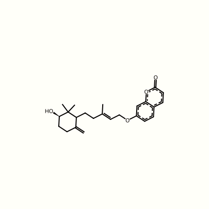 C=C1CC[C@@H](O)C(C)(C)C1CC/C(C)=C/COc1ccc2ccc(=O)oc2c1